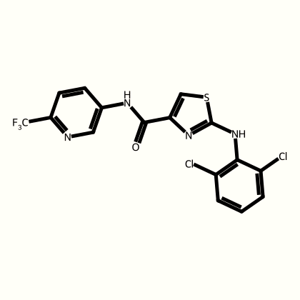 O=C(Nc1ccc(C(F)(F)F)nc1)c1csc(Nc2c(Cl)cccc2Cl)n1